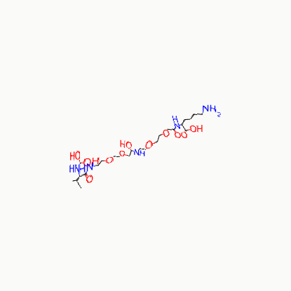 CC(C)C(NC(O)O)C(=O)NCCOCCOCC(O)NCCOCCOCC(=O)NC(CCCCN)C(=O)O